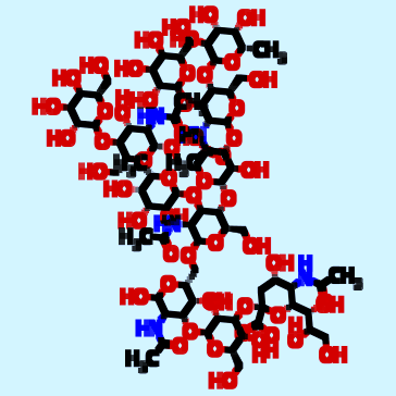 CC(=O)N[C@H]1[C@H](OC[C@H]2O[C@@H](O[C@H]3[C@H](O[C@@H]4O[C@@H](C)[C@@H](O)[C@@H](O)[C@@H]4O)[C@@H](NC(C)=O)[C@H](OC[C@H]4OC(O)[C@H](NC(C)=O)[C@@H](O[C@@H]5O[C@H](CO)[C@H](O)[C@H](O[C@]6(C(=O)O)C[C@H](O)[C@@H](NC(C)=O)[C@H]([C@H](O)[C@H](O)CO)O6)[C@H]5O)[C@H]4O)O[C@@H]3CO)[C@H](O)[C@@H](O[C@@H]3O[C@H](CO)[C@@H](O[C@@H]4O[C@@H](C)[C@@H](O)[C@@H](O)[C@@H]4O)[C@H](O[C@@H]4O[C@H](CO)[C@H](O)[C@H](O)[C@H]4O)[C@H]3NC(C)=O)[C@H]2O)O[C@H](CO)[C@@H](O[C@@H]2O[C@H](CO)[C@H](O)[C@H](O)[C@H]2O)[C@@H]1O